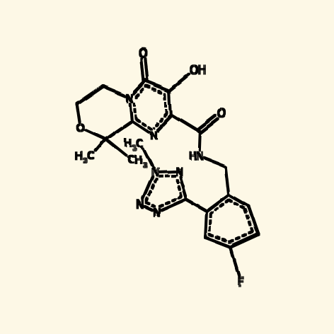 Cn1nnc(-c2cc(F)ccc2CNC(=O)c2nc3n(c(=O)c2O)CCOC3(C)C)n1